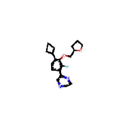 Fc1c(-c2cnccn2)ccc(C2CCC2)c1OCC1CCCO1